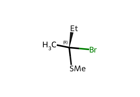 CC[C@@](C)(Br)SC